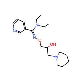 CCN(CC)C(=NOCC(O)CN1CCCCC1)c1cccnc1